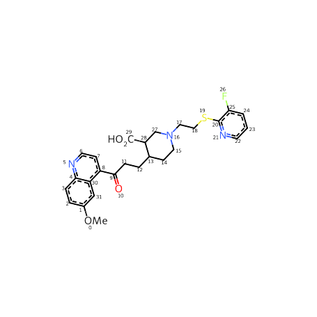 COc1ccc2nccc(C(=O)CCC3CCN(CCSc4ncccc4F)CC3C(=O)O)c2c1